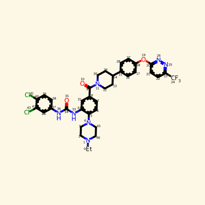 CCN1CCN(c2ccc(C(=O)N3CCC(c4ccc(Oc5ccc(C(F)(F)F)nn5)cc4)CC3)cc2NC(=O)Nc2ccc(Cl)c(Cl)c2)CC1